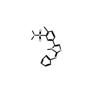 Cc1ccc(-c2cs/c(=N/c3ccccc3)n2C)cc1S(=O)(=O)N(C)C